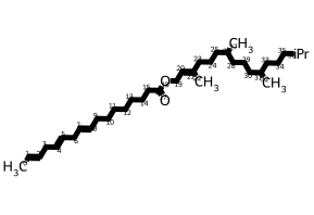 C/C=C/C/C=C/C/C=C/CCCCCCCC(=O)OC/C=C(\C)CCCC(C)CCCC(C)CCCC(C)C